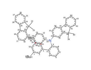 CC(C)(C)c1cc(-c2ccccc2N(c2ccc(-c3cccc4c3C(C)(C)c3ccccc3-4)cc2)c2ccc3c(c2)C(C)(C)c2ccccc2-3)cc(C(C)(C)C)c1